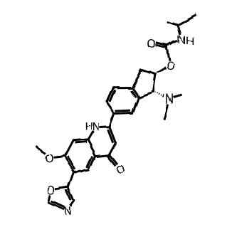 COc1cc2[nH]c(-c3ccc4c(c3)[C@@H](N(C)C)[C@H](OC(=O)NC(C)C)C4)cc(=O)c2cc1-c1cnco1